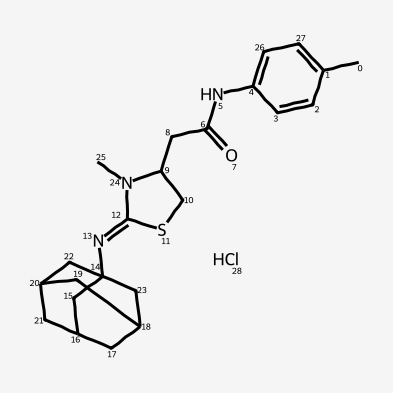 Cc1ccc(NC(=O)CC2CS/C(=N\C34CC5CC(CC(C5)C3)C4)N2C)cc1.Cl